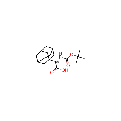 CC(C)(C)OC(=O)P[C@H](C(=O)O)C12CC3CC(CC(C3)C1)C2